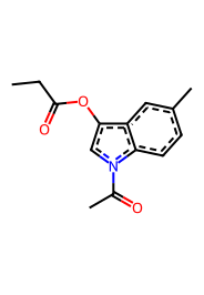 CCC(=O)Oc1cn(C(C)=O)c2ccc(C)cc12